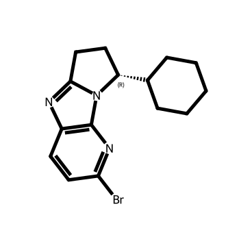 Brc1ccc2nc3n(c2n1)[C@@H](C1CCCCC1)CC3